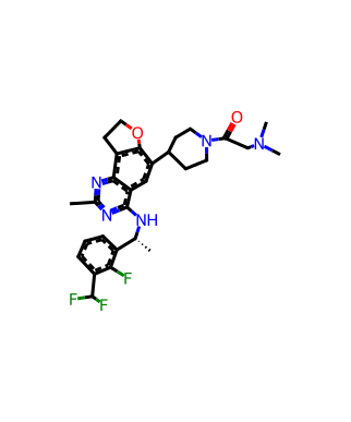 Cc1nc(N[C@H](C)c2cccc(C(F)F)c2F)c2cc(C3CCN(C(=O)CN(C)C)CC3)c3c(c2n1)CCO3